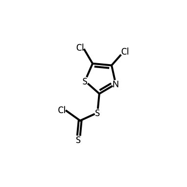 S=C(Cl)Sc1nc(Cl)c(Cl)s1